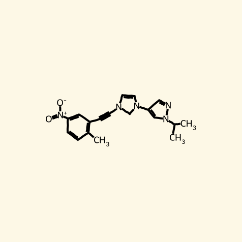 Cc1ccc([N+](=O)[O-])cc1C#CN1C=CN(c2cnn(C(C)C)c2)C1